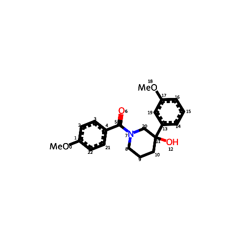 COc1ccc(C(=O)N2CCCC(O)(c3cccc(OC)c3)C2)cc1